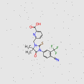 CC1(C)C(=O)N(c2ccc(C#N)c(C(F)(F)F)c2)C(=S)N1Cc1cccc(C(=O)O)n1